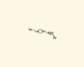 N#CCCNCCN1CCN(CCC#N)CC1